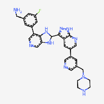 NCc1cc(F)cc(-c2cncc3c2NC(c2n[nH]c4ncc(-c5cncc(CN6CCNCC6)c5)cc24)N3)c1